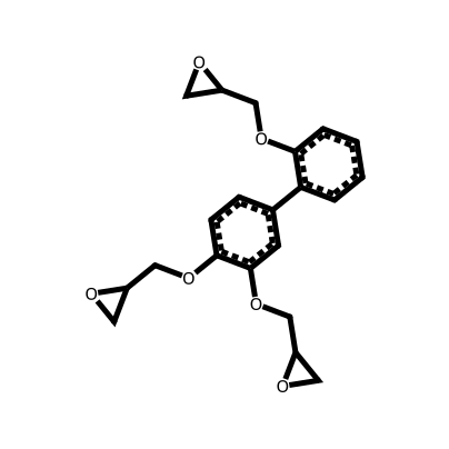 c1ccc(-c2ccc(OCC3CO3)c(OCC3CO3)c2)c(OCC2CO2)c1